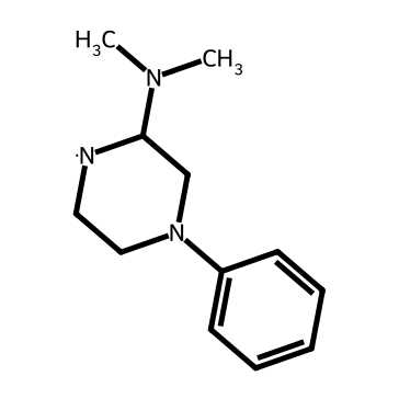 CN(C)C1CN(c2ccccc2)CC[N]1